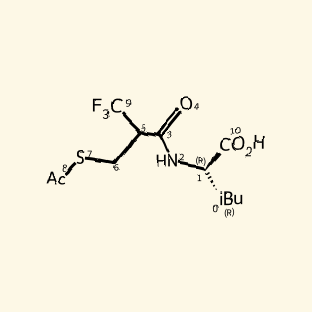 CC[C@@H](C)[C@@H](NC(=O)C(CSC(C)=O)C(F)(F)F)C(=O)O